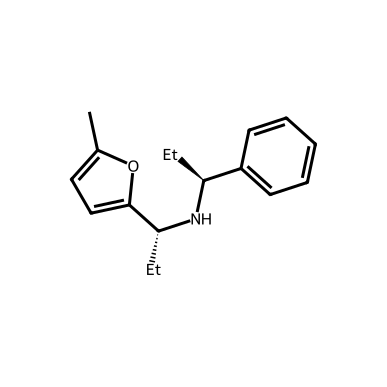 CC[C@H](N[C@H](CC)c1ccc(C)o1)c1ccccc1